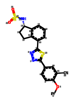 CC(C)Oc1ccc(-c2nnc(-c3cccc4c3CC[C@@H]4N[SH](=O)=O)s2)cc1C#N